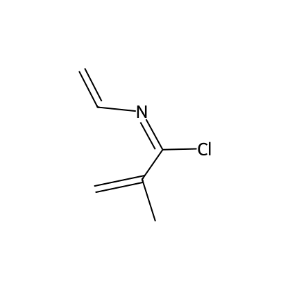 C=C/N=C(/Cl)C(=C)C